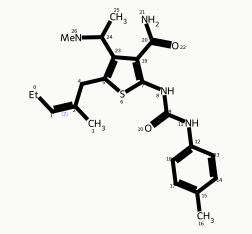 CC/C=C(/C)Cc1sc(NC(=O)Nc2ccc(C)cc2)c(C(N)=O)c1C(C)NC